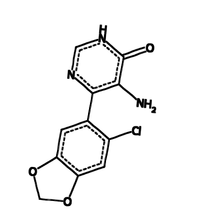 Nc1c(-c2cc3c(cc2Cl)OCO3)nc[nH]c1=O